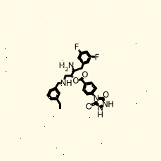 CCc1cccc(CNCC(OC(=O)c2ccc(-n3c(=O)[nH][nH]c3=O)cc2)C(N)Cc2cc(F)cc(F)c2)c1